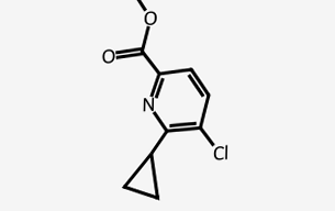 COC(=O)c1ccc(Cl)c(C2CC2)n1